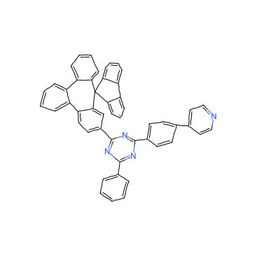 c1ccc(-c2nc(-c3ccc(-c4ccncc4)cc3)nc(-c3ccc4c(c3)C3(c5ccccc5-c5ccccc5-4)c4ccccc4-c4ccccc43)n2)cc1